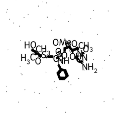 CO[C@H](COP(=O)(NCc1ccccc1)OCCSC(=O)C(C)(C)CO)[C@H](O)C(C)(O)n1ccc(N)nc1=O